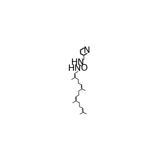 CC(C)=CCCC(C)=CCCC(C)=CCCC(C)=CCNC(=O)NCc1cccnc1